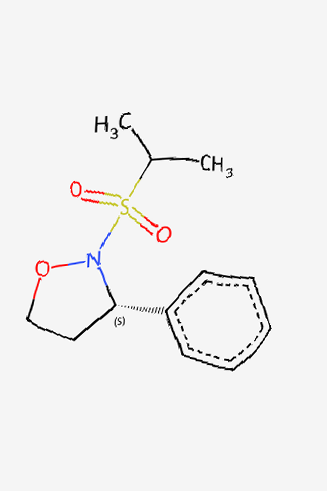 CC(C)S(=O)(=O)N1OCC[C@H]1c1ccccc1